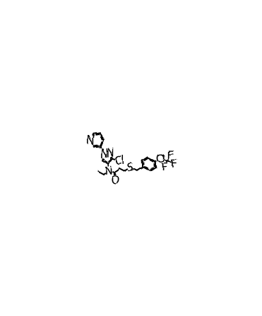 CCN(C(=O)CCSCc1ccc(OC(F)(F)F)cc1)c1cn(-c2cccnc2)nc1Cl